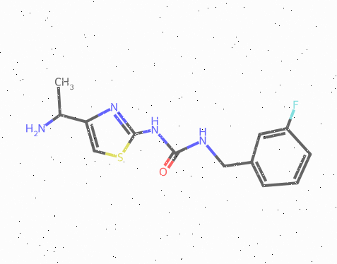 CC(N)c1csc(NC(=O)NCc2cccc(F)c2)n1